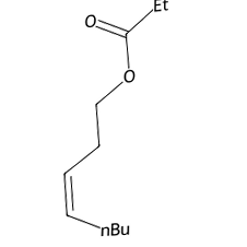 CCCC/C=C\CCOC(=O)CC